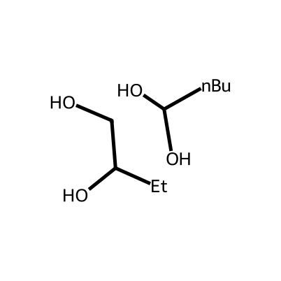 CCC(O)CO.CCCCC(O)O